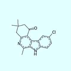 Cc1nc2c(c3c1[nH]c1ccc(Cl)cc13)C(=O)CC(C)(C)C2